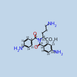 NCCC[C@@H](C(=O)O)N(C(=O)c1ccc(N)cc1)C(=O)c1ccc(N)cc1